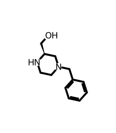 OC[C@H]1CN(Cc2ccccc2)CCN1